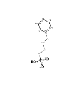 O=P(O)(O)CCCCc1ccccc1